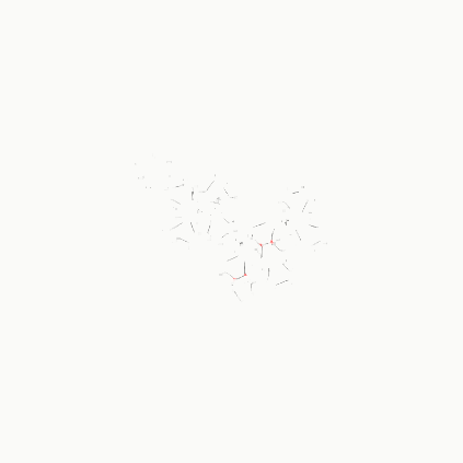 c1ccc(-c2cccc3cccc(-c4ccccc4N(c4ccc(-n5c6ccccc6c6ccccc65)cc4)c4ccc(C5(c6ccccc6)c6ccccc6-c6cc(C7CCCCC7)ccc65)cc4)c23)cc1